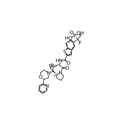 CC(C)(C)C(NC(=O)c1cc2cc(C(F)(F)P(=O)(O)O)ccc2s1)C(=O)N1CCC[C@H]1C(=O)N1CCOC(c2ccccn2)C1